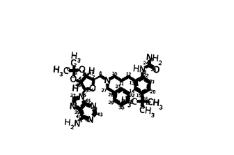 CC1(C)O[C@@H]2[C@H](O1)[C@@H](CN(CCCc1cc(C(C)(C)C)ccc1NC(N)=O)Cc1ccccc1)O[C@H]2n1cnc2c(N)ncnc21